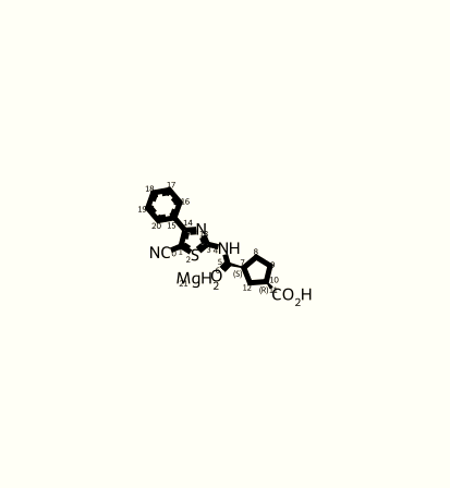 N#Cc1sc(NC(=O)[C@H]2CC[C@@H](C(=O)O)C2)nc1-c1ccccc1.[MgH2]